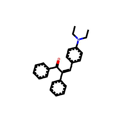 CCN(CC)c1ccc(C=C(C(=O)c2ccccc2)c2ccccc2)cc1